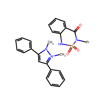 CC(C)N1C(=O)c2ccccc2NS1(=O)=O.Cn1c(-c2ccccc2)cc(-c2ccccc2)[n+]1C